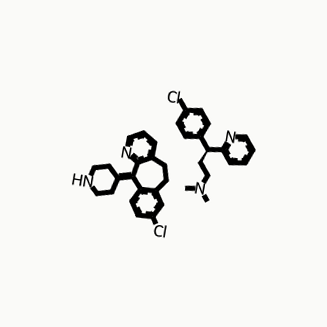 CN(C)CC[C@@H](c1ccc(Cl)cc1)c1ccccn1.Clc1ccc2c(c1)CCc1cccnc1C2=C1CCNCC1